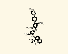 C=Cc1cnc(Nc2cc(CC)c(N3CCC(N4CCN(C)CC4)CC3)cc2OC)nc1Nc1ccc2nccnc2c1P(C)(C)=O